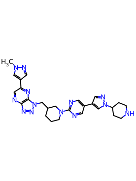 Cn1cc(-c2cnc3nnn(CC4CCCN(c5ncc(-c6cnn(C7CCNCC7)c6)cn5)C4)c3n2)cn1